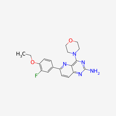 CCOc1ccc(-c2ccc3nc(N)nc(N4CCOCC4)c3n2)cc1F